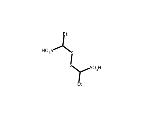 CCC(SSC(CC)S(=O)(=O)O)S(=O)(=O)O